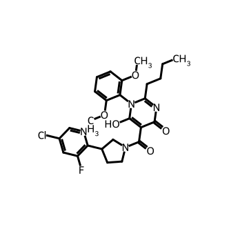 CCCCc1nc(=O)c(C(=O)N2CCC(c3ncc(Cl)cc3F)C2)c(O)n1-c1c(OC)cccc1OC